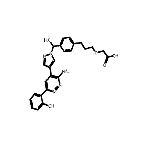 CC(c1ccc(CCCOCC(=O)O)cc1)n1cc(-c2cc(-c3ccccc3O)nnc2N)cn1